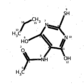 CC(=O)Nc1c(O)nc(S)nc1O.CCC